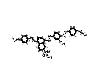 Cc1cc(N=Nc2ccc(N=Nc3ccc(N)cc3)c3ccc(S(=O)(=O)O)cc23)ccc1N=Nc1ccc(OC=O)cc1